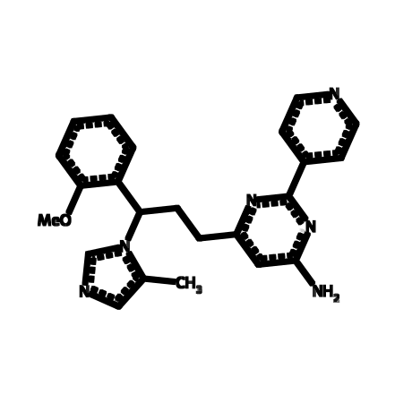 COc1ccccc1C(CCc1cc(N)nc(-c2ccncc2)n1)n1cncc1C